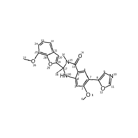 COc1cc2c(cc1-c1cnco1)C(=O)N(C)C(C)(c1cc3cccc(OC)c3o1)N2